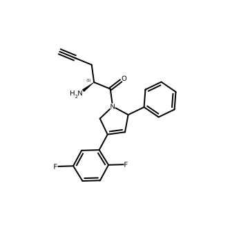 C#CC[C@H](N)C(=O)N1CC(c2cc(F)ccc2F)=CC1c1ccccc1